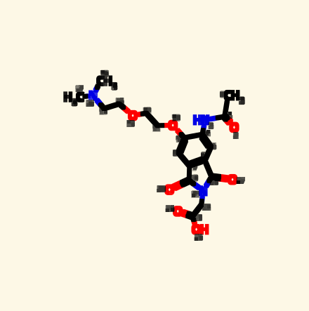 CC(=O)Nc1cc2c(cc1OCCOCCN(C)C)C(=O)N(CC(=O)O)C2=O